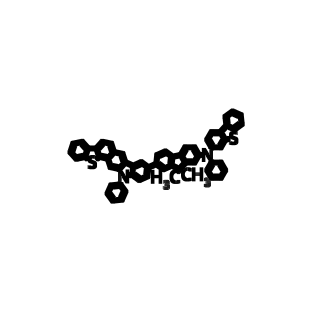 CC1(C)c2cc(-c3ccc4c(c3)c3cc5ccc6c7ccccc7sc6c5cc3n4-c3ccccc3)ccc2-c2ccc(N(c3ccccc3)c3ccc4c(c3)sc3ccccc34)cc21